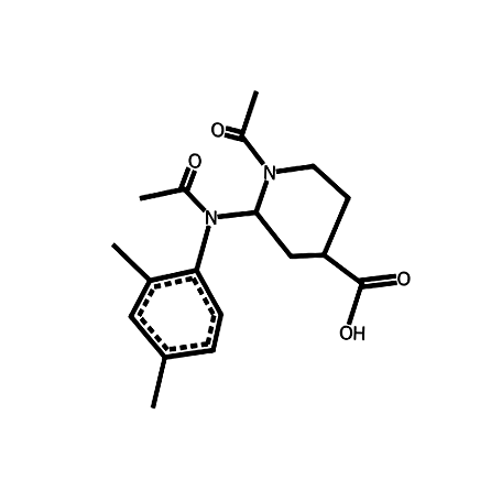 CC(=O)N1CCC(C(=O)O)CC1N(C(C)=O)c1ccc(C)cc1C